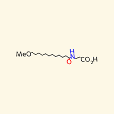 COCCCCCCCCCCCC(=O)NCCC(=O)O